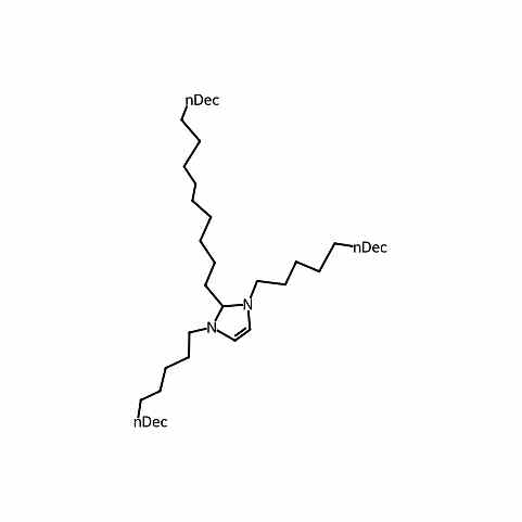 CCCCCCCCCCCCCCCCCCCC1N(CCCCCCCCCCCCCCC)C=CN1CCCCCCCCCCCCCCC